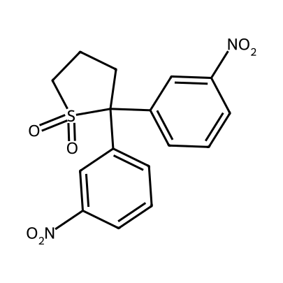 O=[N+]([O-])c1cccc(C2(c3cccc([N+](=O)[O-])c3)CCCS2(=O)=O)c1